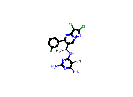 C[C@H](Nc1nc(N)nc(N)c1C#N)c1cn2nc(Cl)c(Cl)c2nc1-c1cccc(F)c1